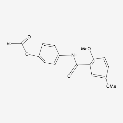 CCC(=O)Oc1ccc(NC(=O)c2cc(OC)ccc2OC)cc1